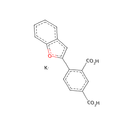 O=C(O)c1ccc(-c2cc3ccccc3o2)c(C(=O)O)c1.[K]